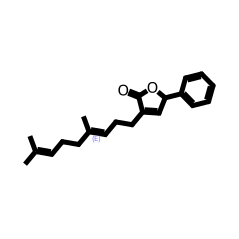 CC(C)=CCC/C(C)=C/CCC1=CC(c2ccccc2)OC1=O